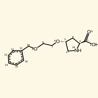 O=C(O)[C@@H]1C[C@@H](OCCOCc2ccccc2)CN1